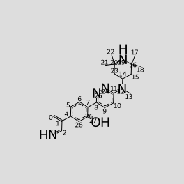 C=C(C=N)c1ccc(-c2ccc(N(C)C3CC(C)(C)NC(C)(C)C3)nn2)c(O)c1